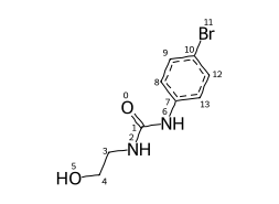 O=C(NCCO)Nc1ccc(Br)cc1